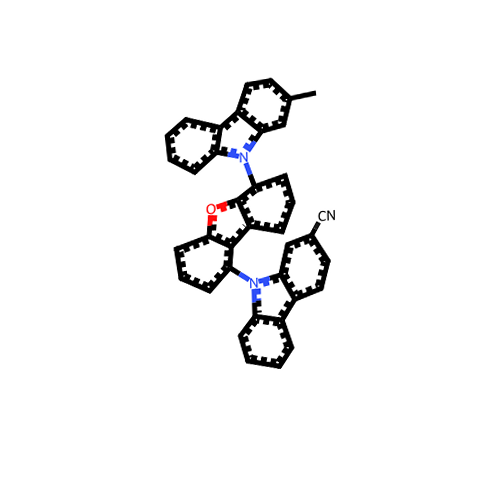 Cc1ccc2c3ccccc3n(-c3cccc4c3oc3cccc(-n5c6ccccc6c6ccc(C#N)cc65)c34)c2c1